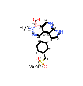 CNS(=O)(=O)C[C@H]1CC[C@H](C2=NN(C)B(O)c3cnc4[nH]ccc4c32)CC1